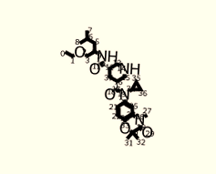 CCOCC(CC(C)C)NC(=O)[C@@H]1CNC[C@H](C(=O)N(c2ccc3c(c2)N(C)C(=O)C(C)(C)O3)C2CC2)C1